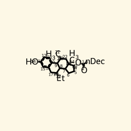 CCCCCCCCCCC(=O)O[C@H]1CCC2C3C(c4ccc(O)cc4C[C@H]3CC)[C@@H](C)C[C@@]21C